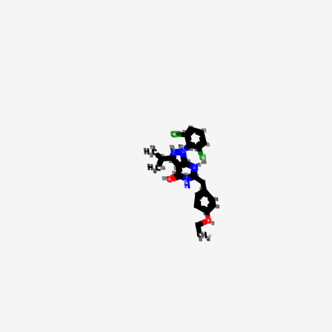 [CH2]COc1ccc(Cc2nc3c(c(C(C)C)nn3-c3c(Cl)cccc3Cl)c(=O)[nH]2)cc1